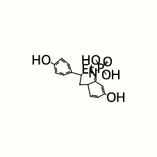 CCC(CC1C=CC(O)=CC1=NP(=O)(O)O)c1ccc(O)cc1